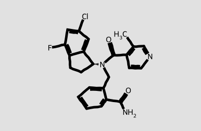 Cc1cnccc1C(=O)N(Cc1ccccc1C(N)=O)[C@@H]1CCc2c(F)cc(Cl)cc21